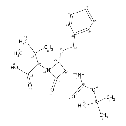 CC(C)(C)OC(=O)N[C@@H]1C(=O)N(C(C(=O)O)C(C)(C)C)[C@@H]1CCc1ccccc1